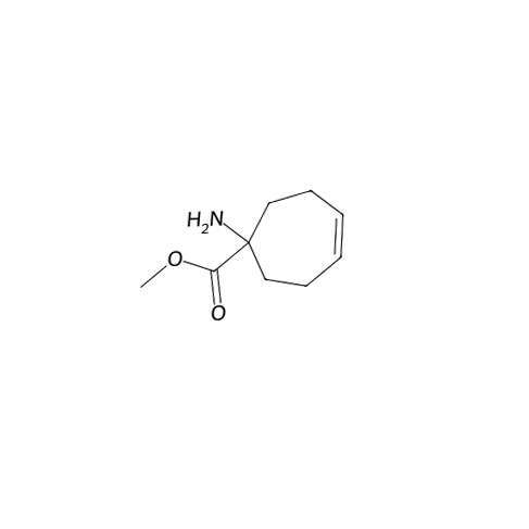 COC(=O)C1(N)CCC=CCC1